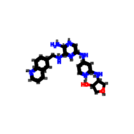 Nc1ncc(Nc2ccnc(NC3COCC3O)c2)nc1NCc1ccc2ncccc2c1